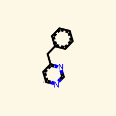 [c]1cc(Cc2ccccc2)ncn1